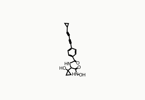 O=C(NC(C(=O)NO)C1(O)CC1)c1ccc(C#CC#CC2CC2)cc1